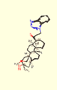 COC[C@]12CC[C@@](C)(O)C[C@@H]1CC[C@H]1[C@@H]3CC[C@H](C(=O)Cn4nnc5ccccc54)[C@@]3(C)CC[C@@H]12